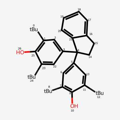 CC(C)(C)c1cc(C2(c3cc(C(C)(C)C)c(O)c(C(C)(C)C)c3)CCc3ccccc32)cc(C(C)(C)C)c1O